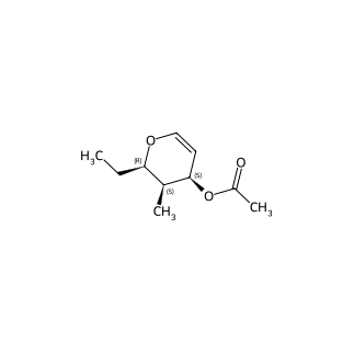 CC[C@H]1OC=C[C@@H](OC(C)=O)[C@H]1C